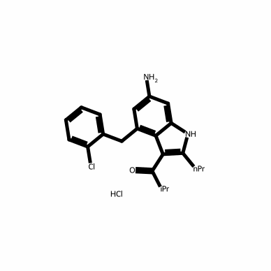 CCCc1[nH]c2cc(N)cc(Cc3ccccc3Cl)c2c1C(=O)C(C)C.Cl